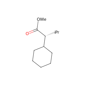 COC(=O)[C@H](C(C)C)C1CCCCC1